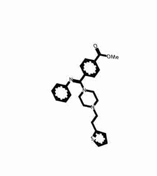 COC(=O)c1ccc(C(=Nc2ccccc2)N2CCN(CCc3cccs3)CC2)cc1